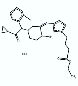 CCOC(=O)CCCn1ccc(/C=C2/CN(C(C(=O)C3CC3)c3ccccc3F)CCC2S)n1.Cl